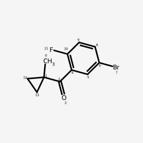 CC1(C(=O)c2cc(Br)ccc2F)CC1